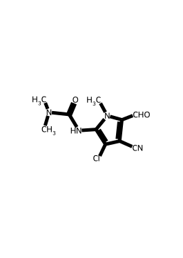 CN(C)C(=O)Nc1c(Cl)c(C#N)c(C=O)n1C